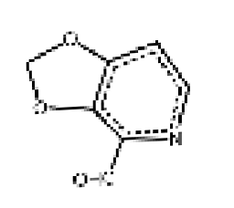 O=Cc1nccc2c1OCO2